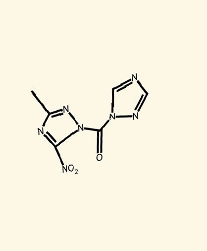 Cc1nc([N+](=O)[O-])n(C(=O)n2cncn2)n1